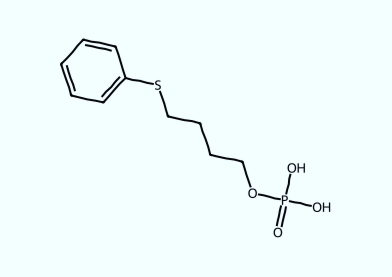 O=P(O)(O)OCCCCSc1ccccc1